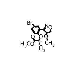 CCOC1CON=C1c1cc(Br)ccc1OC(C)C(=O)OC